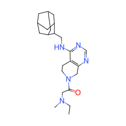 CCN(C)CC(=O)N1CCc2c(ncnc2NCC2C3CC4CC(C3)CC2C4)C1